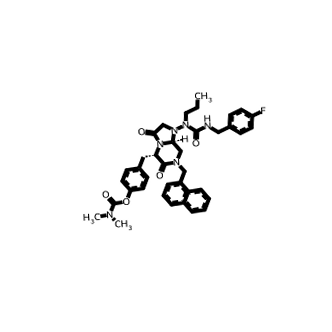 CCCN(C(=O)NCc1ccc(F)cc1)N1CC(=O)N2[C@@H](Cc3ccc(OC(=O)N(C)C)cc3)C(=O)N(Cc3cccc4ccccc34)C[C@@H]21